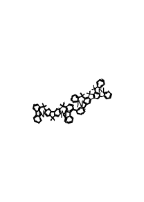 CC1(C)c2cc3c(cc2-c2cc4c(cc21)-n1c2ccccc2c2c(-c5cccc6c7cc8c(c9c7n(c56)-c5ccccc5C9(C)C)C(C)(C)c5c-8cc6c7ccccc7n7c6c5C(C)(C)c5ccccc5-7)ccc(c21)C4(C)C)C(C)(C)c1cccc2c4ccccc4n-3c12